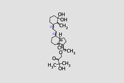 C=C1/C(=C\C=C2/CCC[C@]3(C)[C@@H](C(C)OCC(=O)C(C)(C)O)CC[C@@H]23)CCCC1(O)O